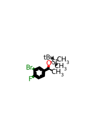 C[C@H](O[Si](C)(C)C(C)(C)C)c1ccc(F)c(Br)c1